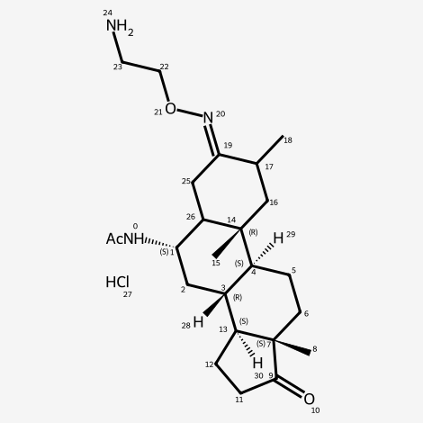 CC(=O)N[C@H]1C[C@@H]2[C@H](CC[C@]3(C)C(=O)CC[C@@H]23)[C@@]2(C)CC(C)C(=NOCCN)CC12.Cl